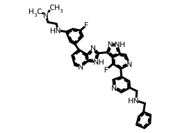 CN(C)CCNc1cc(F)cc(-c2ccnc3[nH]c(-c4n[nH]c5cnc(-c6cncc(CNCc7ccccc7)c6)c(F)c45)nc23)c1